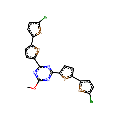 COc1nc(-c2ccc(-c3ccc(Br)s3)s2)nc(-c2ccc(-c3ccc(Br)s3)s2)n1